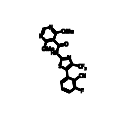 COc1ncnc(OC)c1C(=O)Nc1nc(C(F)(F)F)c(-c2cccc(F)c2C#N)s1